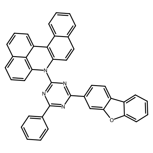 c1ccc(-c2nc(-c3ccc4c(c3)oc3ccccc34)nc(N3c4ccc5ccccc5c4-c4cccc5cccc3c45)n2)cc1